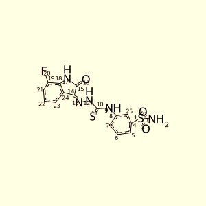 NS(=O)(=O)c1cccc(NC(=S)NN=C2C(=O)Nc3c(F)cccc32)c1